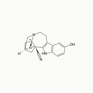 N#C[C@@]12C[C@H]3C[C@@H]1N(CCc1c2[nH]c2ccc(O)cc12)C3